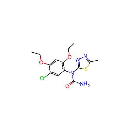 CCOc1cc(OCC)c(N(C(N)=O)c2nnc(C)s2)cc1Cl